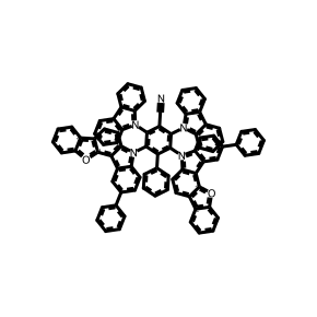 N#Cc1c(-n2c3ccccc3c3ccccc32)c(-n2c3ccc(-c4ccccc4)cc3c3c4oc5ccccc5c4ccc32)c(-c2ccccc2)c(-n2c3ccc(-c4ccccc4)cc3c3c4oc5ccccc5c4ccc32)c1-n1c2ccccc2c2ccccc21